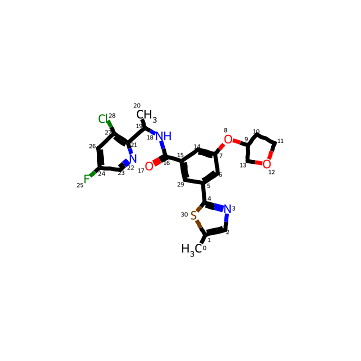 Cc1cnc(-c2cc(OC3CCOC3)cc(C(=O)NC(C)c3ncc(F)cc3Cl)c2)s1